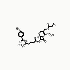 CC(=O)CC(=O)OCC1=C(C(=O)O)N2C(=O)[C@@H](NC(=O)CCCC(NC(=O)c3ccc(C(C)(C)C)cc3)C(=O)O)[C@@H]2SC1